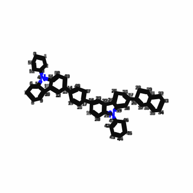 C1=CCC(n2c3ccccc3c3cc(-c4ccc(-c5ccc6c(c5)c5ccc(-c7ccc8ccccc8c7)cc5n6-c5ccccc5)cc4)ccc32)C=C1